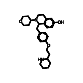 Oc1ccc2c(c1)CCN(C1CCOCC1)C2Cc1ccc(OCCC2CCCCN2)cc1